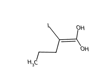 CCCC(I)=C(O)O